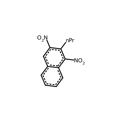 CCCc1c([N+](=O)[O-])cc2ccccc2c1[N+](=O)[O-]